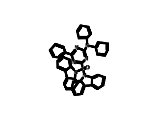 O=P(c1nc(-c2ccccc2)nc(N(c2ccccc2)c2ccccc2)n1)(n1c2ccccc2c2ccccc21)n1c2ccccc2c2ccccc21